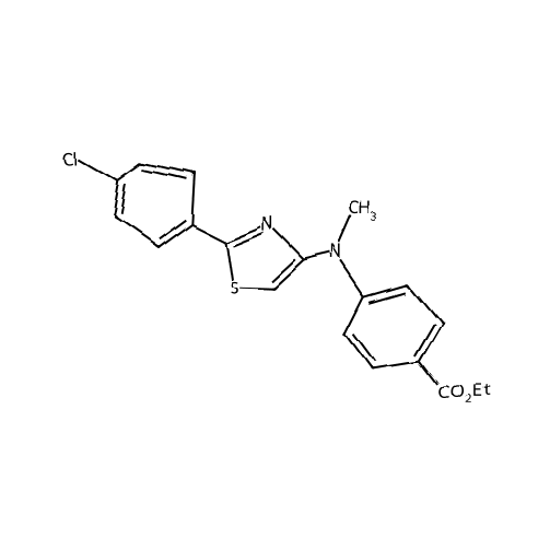 CCOC(=O)c1ccc(N(C)c2csc(-c3ccc(Cl)cc3)n2)cc1